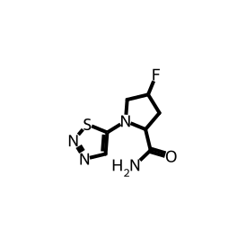 NC(=O)C1CC(F)CN1c1cnns1